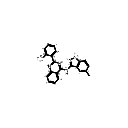 Cc1ccc2[nH]nc(Nc3nc(-c4ccccc4C(F)(F)F)nc4ccccc34)c2c1